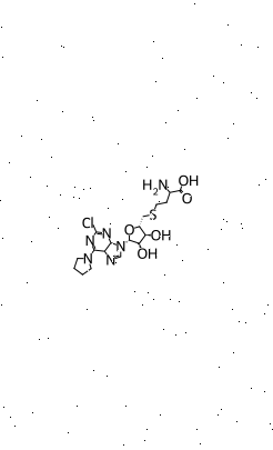 NC(CCSC[C@H]1O[C@@H](N2C=NC3C(N4CCCC4)=NC(Cl)=NC32)[C@H](O)[C@@H]1O)C(=O)O